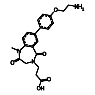 CN1C(=O)CN(CCC(=O)O)C(=O)c2cc(-c3ccc(OCCN)cc3)ccc21